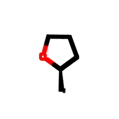 [CH][C@@H]1CCCO1